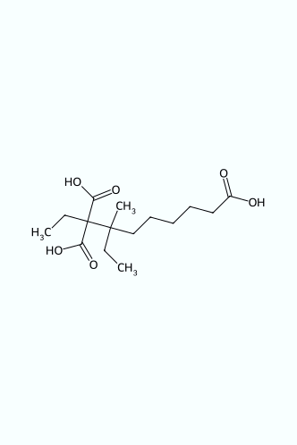 CCC(C)(CCCCCC(=O)O)C(CC)(C(=O)O)C(=O)O